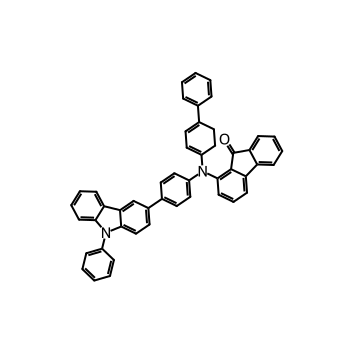 O=C1c2ccccc2-c2cccc(N(C3=CC=C(c4ccccc4)CC3)c3ccc(-c4ccc5c(c4)c4ccccc4n5-c4ccccc4)cc3)c21